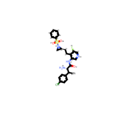 CC(C)C(c1ccc(Cl)cc1)[C@H](N)C(=O)Nc1cncc(F)c1CC[C@H]1CN1S(=O)(=O)c1ccccc1